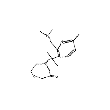 Cc1ccc(C(C)(C)N2CCOCC2=O)c(CN(C)C)n1